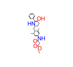 CCOC(=O)CC(=O)NC1=CC(C)C(CC2CCC(O)=C(c3ccccc3)N2)C(C)=C1